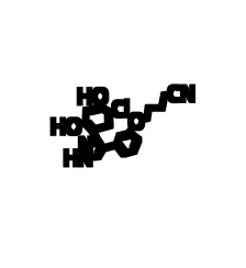 N#CCCCCOc1cccc(-c2c[nH]nc2-c2cc(Cl)c(O)cc2O)c1